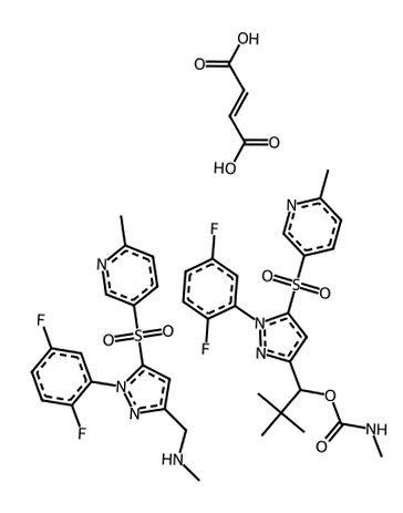 CNC(=O)OC(c1cc(S(=O)(=O)c2ccc(C)nc2)n(-c2cc(F)ccc2F)n1)C(C)(C)C.CNCc1cc(S(=O)(=O)c2ccc(C)nc2)n(-c2cc(F)ccc2F)n1.O=C(O)/C=C/C(=O)O